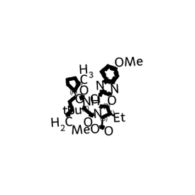 C=CCCC[C@@H]1CCC[C@@]1(C)OC(=O)N[C@H](C(=O)N1C[C@H](Oc2nc3cc(OC)ccc3nc2Cl)[C@@H](CC)[C@H]1C(=O)OC)C(C)(C)C